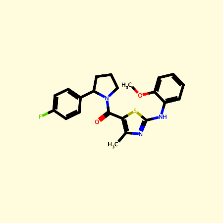 COc1ccccc1Nc1nc(C)c(C(=O)N2CCCC2c2ccc(F)cc2)s1